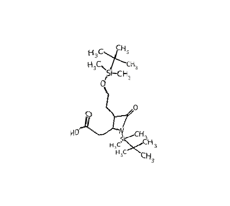 CC(C)(C)[Si](C)(C)OCCC1C(=O)N([Si](C)(C)C(C)(C)C)C1CC(=O)O